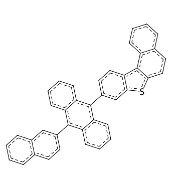 c1ccc2cc(-c3c4ccccc4c(-c4ccc5c(c4)sc4ccc6ccccc6c45)c4ccccc34)ccc2c1